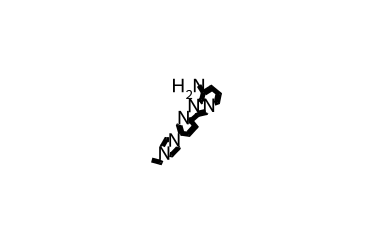 CCN1CCN(c2ccc(-c3cn4cccc(N)c4n3)nc2)CC1